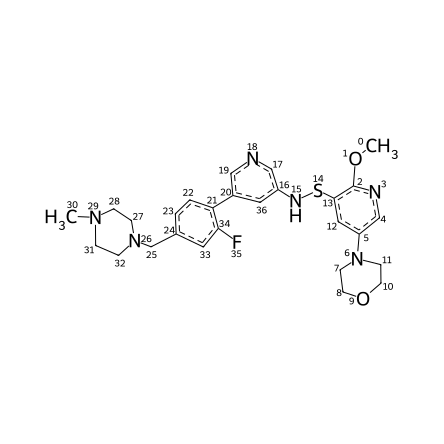 COc1ncc(N2CCOCC2)cc1SNc1cncc(-c2ccc(CN3CCN(C)CC3)cc2F)c1